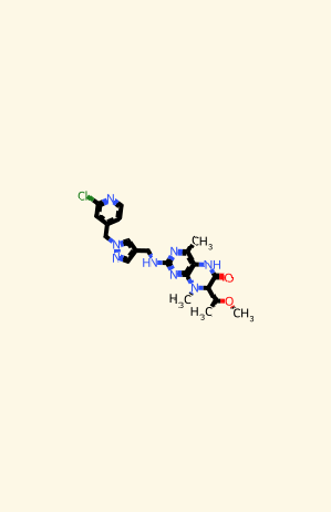 COC(C)C1C(=O)Nc2c(C)nc(NCc3cnn(Cc4ccnc(Cl)c4)c3)nc2N1C